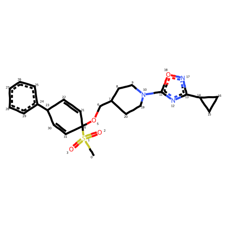 CS(=O)(=O)C1(OCC2CCN(c3nc(C4CC4)no3)CC2)C=CC(c2ccccc2)C=C1